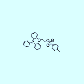 Cc1ccc(S(=O)(=O)OCCOc2ccccc2P(c2ccccc2)c2ccccc2)cc1